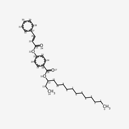 CCCCCCCCCCCCC(CC)OC(=O)c1ccc(OC(=O)/C=C/c2ccccc2)cc1